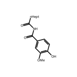 CCCCCCCC(=O)NC(=O)c1ccc(O)c(OC)c1